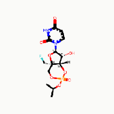 CC(C)OP1(=O)OC[C@@]2(CF)O[C@@H](n3ccc(=O)[nH]c3=O)[C@H](O)[C@@H]2O1